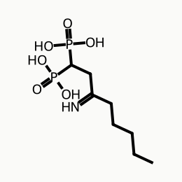 CCCCCC(=N)CC(P(=O)(O)O)P(=O)(O)O